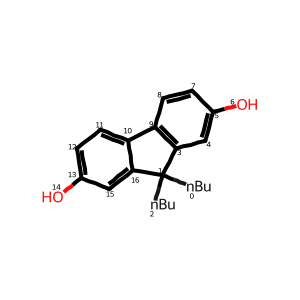 CCCCC1(CCCC)c2cc(O)ccc2-c2ccc(O)cc21